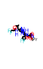 CC(C)Oc1nocc1C(=O)N[C@H](c1cn2ncc([C@H](NC(=O)CCC(F)F)C3CC3)cc2n1)C1CCC(F)(F)CC1